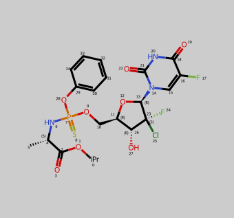 CC(C)OC(=O)[C@H](C)NP(=S)(OC[C@H]1O[C@@H](n2cc(F)c(=O)[nH]c2=O)[C@@](F)(Cl)[C@@H]1O)Oc1ccccc1